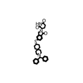 O=C1CCC(N2Cc3cc(SC4CCC5(CC4)CCN(C(c4ccccc4)c4ccccc4)CC5)ccc3C2=O)C(=O)N1